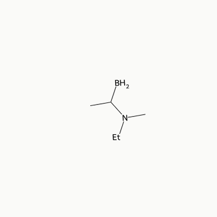 BC(C)N(C)CC